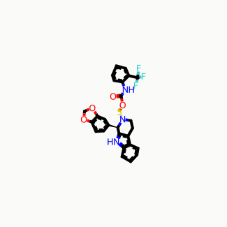 O=C(Nc1ccccc1C(F)(F)F)OSN1CCc2c([nH]c3ccccc23)[C@H]1c1ccc2c(c1)OCO2